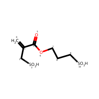 C=C(CS(=O)(=O)O)C(=O)OCCCS(=O)(=O)O